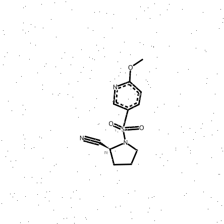 COc1ccc(S(=O)(=O)N2CCC[C@H]2C#N)cn1